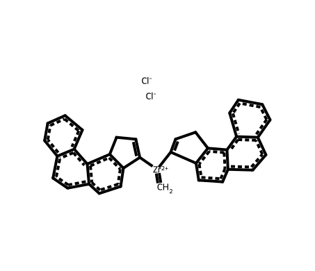 [CH2]=[Zr+2]([C]1=CCc2c1ccc1ccc3ccccc3c21)[C]1=CCc2c1ccc1ccc3ccccc3c21.[Cl-].[Cl-]